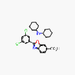 C1CCC(NC2CCCCC2)CC1.O=C(O)c1ccc2nc(-c3cc(Cl)cc(Cl)c3)oc2c1